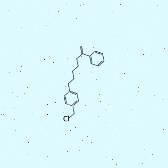 C=C(CCCCCc1ccc(CCl)cc1)c1ccccc1